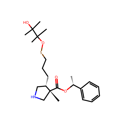 C[C@@H](OC(=O)[C@]1(C)CNC[C@@H]1CCCSOC(C)(C)C(C)(C)O)c1ccccc1